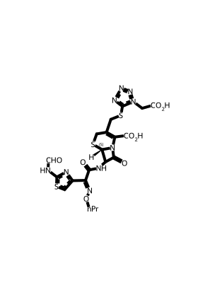 CCCON=C(C(=O)NC1C(=O)N2C(C(=O)O)=C(CSc3nnnn3CC(=O)O)CS[C@@H]12)c1csc(NC=O)n1